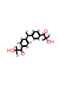 CC(c1ccc(C(=O)C(C)(C)O)cc1)c1ccc(C(=O)C(C)(C)O)cc1